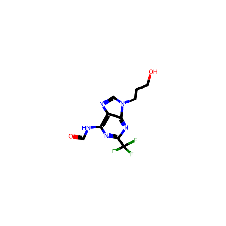 O=CNc1nc(C(F)(F)F)nc2c1ncn2CCCO